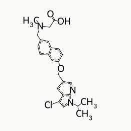 CC(C)n1cc(Cl)c2cc(COc3ccc4cc(CN(C)CC(=O)O)ccc4c3)cnc21